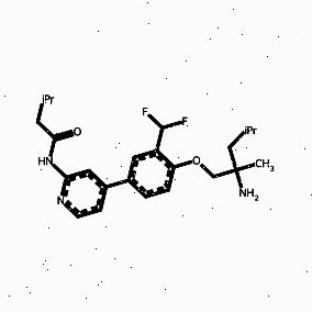 CC(C)CC(=O)Nc1cc(-c2ccc(OCC(C)(N)CC(C)C)c(C(F)F)c2)ccn1